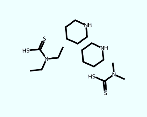 C1CCNCC1.C1CCNCC1.CCN(CC)C(=S)S.CN(C)C(=S)S